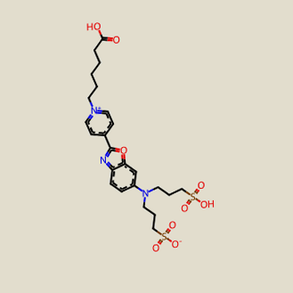 O=C(O)CCCCC[n+]1ccc(-c2nc3ccc(N(CCCS(=O)(=O)[O-])CCCS(=O)(=O)O)cc3o2)cc1